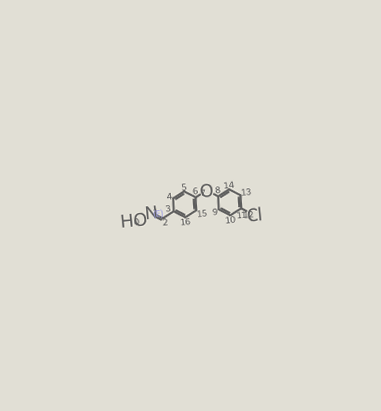 O/N=C/c1ccc(Oc2ccc(Cl)cc2)cc1